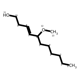 CCCCCCC(/C=C/CCO)OC